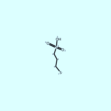 O=S(=O)(O)CCC[S]